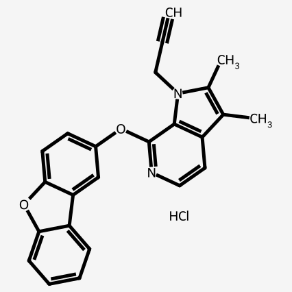 C#CCn1c(C)c(C)c2ccnc(Oc3ccc4oc5ccccc5c4c3)c21.Cl